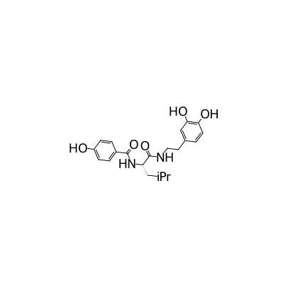 CC(C)C[C@H](NC(=O)c1ccc(O)cc1)C(=O)NCCc1ccc(O)c(O)c1